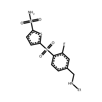 CCNCc1ccc(S(=O)(=O)c2ccc(S(N)(=O)=O)s2)c(F)c1